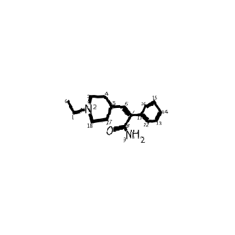 CCN1CCC(C=C(C(N)=O)c2ccccc2)CC1